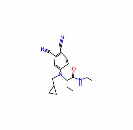 CCNC(=O)C(CC)N(CC1CC1)c1ccc(C#N)c(C#N)c1